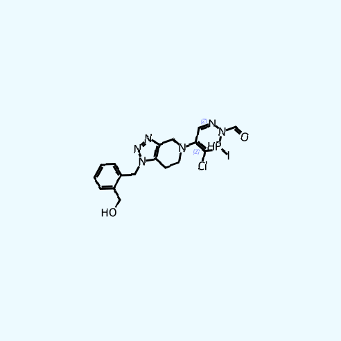 C/C(Cl)=C(\C=N/N(C=O)PI)N1CCc2c(nnn2Cc2ccccc2CO)C1